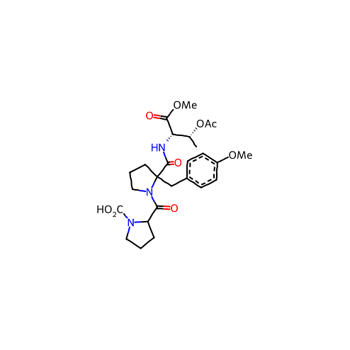 COC(=O)[C@@H](NC(=O)C1(Cc2ccc(OC)cc2)CCCN1C(=O)C1CCCN1C(=O)O)[C@@H](C)OC(C)=O